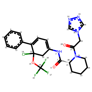 O=C(NC1=CC=C(c2ccccc2)C(Cl)(OC(F)(F)F)C1)[C@H]1CCCCN1C(=O)Cn1cnnc1